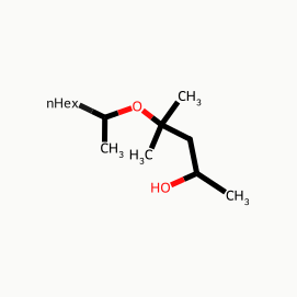 CCCCCCC(C)OC(C)(C)CC(C)O